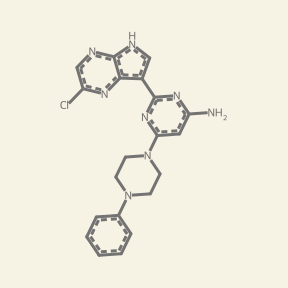 Nc1cc(N2CCN(c3ccccc3)CC2)nc(-c2c[nH]c3ncc(Cl)nc23)n1